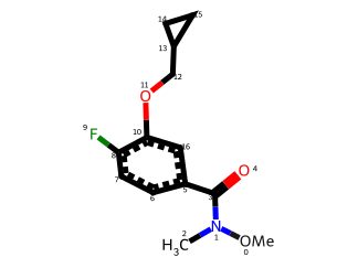 CON(C)C(=O)c1ccc(F)c(OCC2CC2)c1